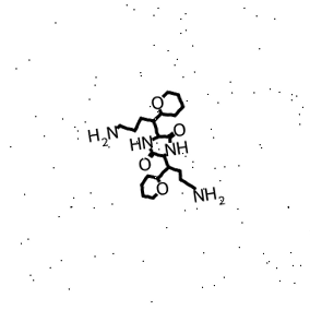 NCCCC(C1CCCCO1)C1NC(=O)C(C(CCCN)C2CCCCO2)NC1=O